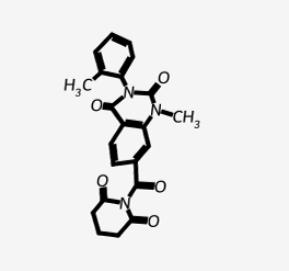 Cc1ccccc1-n1c(=O)c2ccc(C(=O)N3C(=O)CCCC3=O)cc2n(C)c1=O